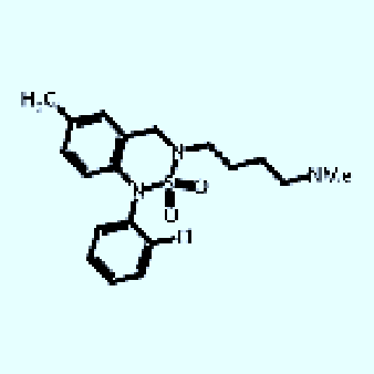 CNCCCCN1Cc2cc(C)ccc2N(c2ccccc2Cl)S1(=O)=O